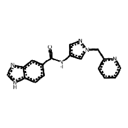 O=C(Nc1cnn(Cc2ccccn2)c1)c1ccc2[nH]cnc2c1